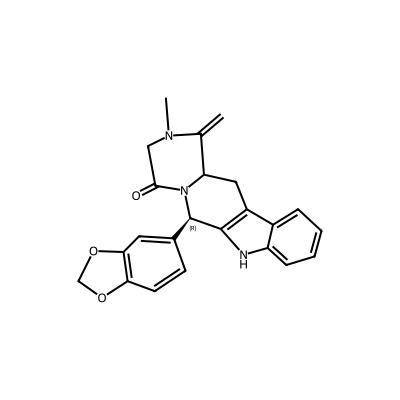 C=C1C2Cc3c([nH]c4ccccc34)[C@@H](c3ccc4c(c3)OCO4)N2C(=O)CN1C